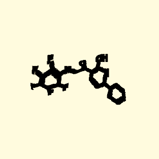 O=C(C=Nc1c(F)c(F)c(F)c(F)c1F)c1ccc(-c2ccccc2)nc1O